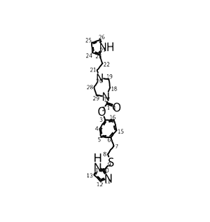 O=C(Oc1ccc(CCSc2ncc[nH]2)cc1)N1CCN(CCc2ccc[nH]2)CC1